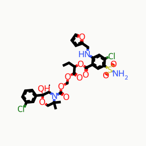 CCC(OC(=O)c1cc(S(N)(=O)=O)c(Cl)cc1NCc1ccco1)C(=O)OCOC(=O)N1[C@@H](C)[C@](O)(c2cccc(Cl)c2)OCC1(C)C